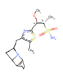 CO[C@H](c1nc(CC2CC3C4=C(C4)N23)c(C)s1)[C@H](C)S(N)(=O)=O